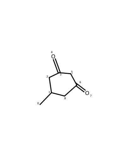 CC1CC(=O)[CH]C(=O)C1